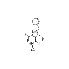 O=C(NC1CC1)c1c(C(F)F)nn(Cc2ccccc2)c1CF